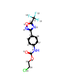 O=C(Nc1ccc(-c2noc(C(F)(F)F)n2)cc1)OCCCl